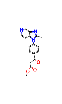 COC(=O)CC(=O)c1ccc(-n2c(C)nc3cnccc32)cc1